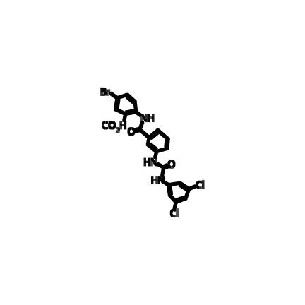 O=C(Nc1cc(Cl)cc(Cl)c1)Nc1cccc(C(=O)Nc2ccc(Br)cc2C(=O)O)c1